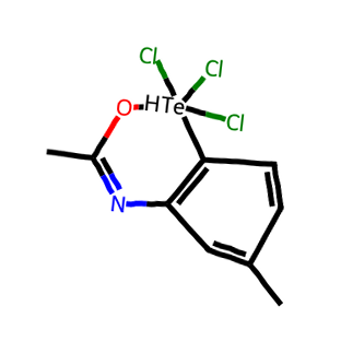 CC1=Nc2cc(C)ccc2[TeH](Cl)(Cl)(Cl)O1